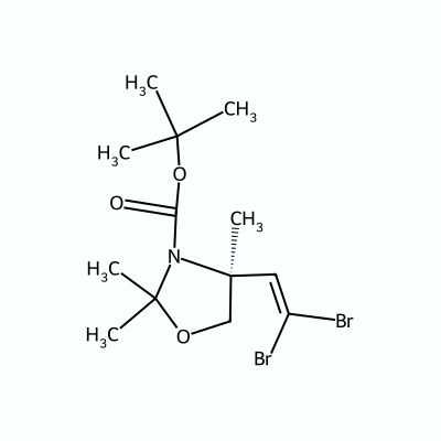 CC(C)(C)OC(=O)N1C(C)(C)OC[C@]1(C)C=C(Br)Br